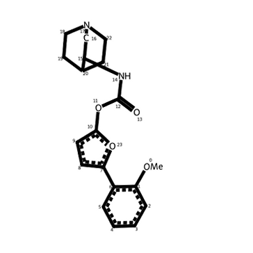 COc1ccccc1-c1ccc(OC(=O)NC2CN3CCC2CC3)o1